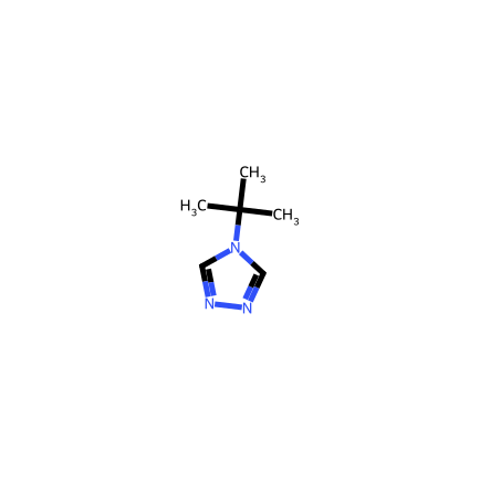 CC(C)(C)n1cnnc1